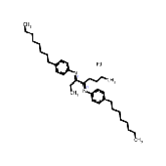 CCCCCCCCc1ccc(/N=C(CC)/C(CCCC)=N/c2ccc(CCCCCCCC)cc2)cc1.[Pd]